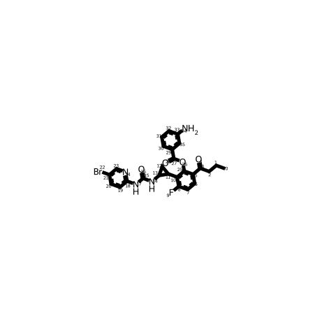 CCCC(=O)c1ccc(F)c(C2CC2NC(=O)Nc2ccc(Br)cn2)c1OC(=O)c1cccc(N)c1